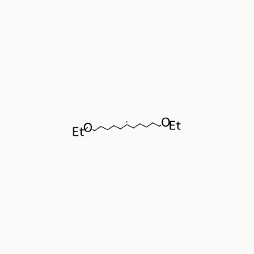 CCOCCCCC[CH]CCCCCOCC